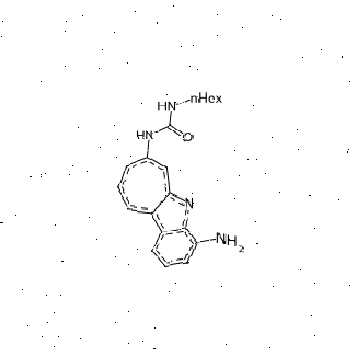 CCCCCCNC(=O)Nc1cccc2c3cccc(N)c3nc-2c1